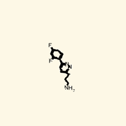 NCCCc1ccc(-c2ccc(F)cc2F)nn1